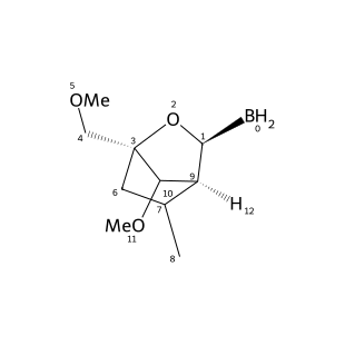 B[C@@H]1O[C@]2(COC)CC(C)[C@H]1C2OC